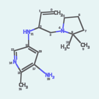 C=CC(CN1CCCC1(C)C)Nc1cnc(C)c(N)c1